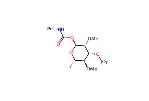 CCCO[C@@H]1[C@@H](OC)[C@H](C)O[C@@H](OC(=O)NC(C)C)[C@@H]1OC